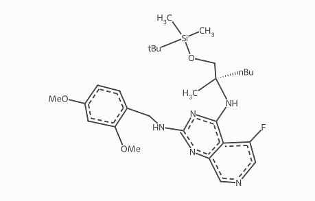 CCCC[C@](C)(CO[Si](C)(C)C(C)(C)C)Nc1nc(NCc2ccc(OC)cc2OC)nc2cncc(F)c12